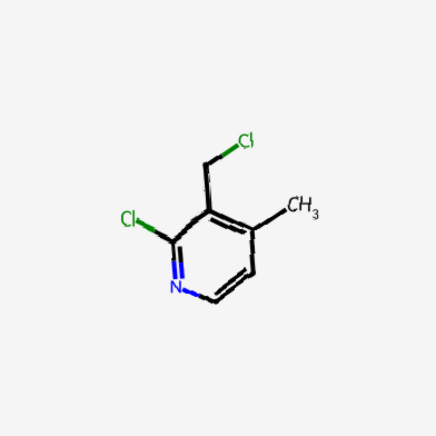 Cc1ccnc(Cl)c1CCl